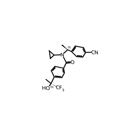 C[C@@H](c1ccc(C#N)cc1)N(C(=O)c1ccc([C@](C)(O)C(F)(F)F)cc1)C1CC1